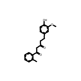 COc1cc(CCC(=O)CC(=O)c2ccccc2C)ccc1O